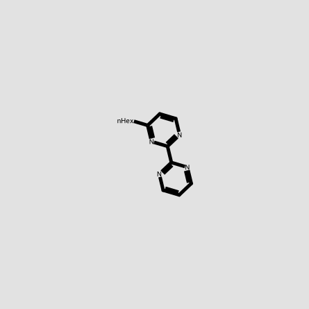 CCCCCCc1ccnc(-c2ncccn2)n1